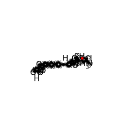 CC1(C)[C@H](Oc2ccc(C#N)c(Cl)c2)C(C)(C)[C@H]1N1Cc2cc(C#CC3CCN(C4CCN(c5ccc6c(c5)C(=O)N(C5CCC(=O)NC5=O)C6=O)CC4)CC3)ccc2C1=O